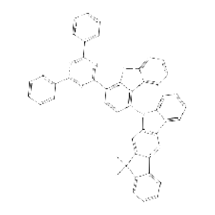 CC1(C)c2ccccc2-c2cc3c4ccccc4n(-c4ccc(-c5nc(-c6ccccc6)nc(-c6ccccc6)n5)c5sc6ccccc6c45)c3cc21